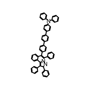 c1ccc(-c2nn3c(-c4ccccc4)c(-c4ccc(-c5ccc(-c6ccc(N(c7ccccc7)c7ccccc7)cc6)cc5)cc4)c4ccccc4c3c2-c2ccccc2)cc1